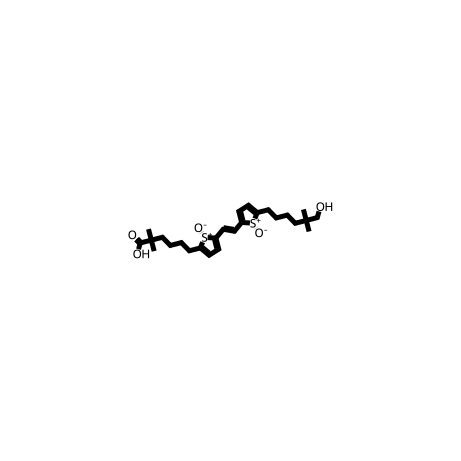 CC(C)(CO)CCCCc1ccc(C=Cc2ccc(CCCCC(C)(C)C(=O)O)[s+]2[O-])[s+]1[O-]